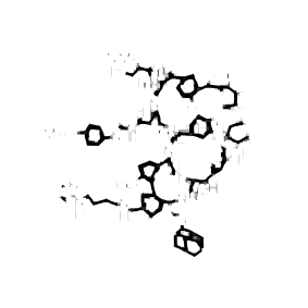 CN[C@H](CC(C)C)C(=O)N[C@H]1C(=O)N[C@@H](CC(=O)NC(=O)Nc2ccc(OC)cc2)C(=O)N[C@H]2C(=O)N[C@H]3C(=O)N[C@H](C(=O)N[C@H](C(=O)NC4C5CC6CC(C5)CC4C6)c4cc(O)c(CNCCCCNS(C)(=O)=O)c(O)c4-c4cc3ccc4O)[C@H](O)c3ccc(c(Cl)c3)Oc3cc2cc2c3O[C@@H]3O[C@H](C(O)c4cc(ccc4O2)[C@H]1O)[C@@H](O)[C@H](O)[C@H]3O[C@H]1C[C@](C)(N)[C@H](O)[C@H](C)O1